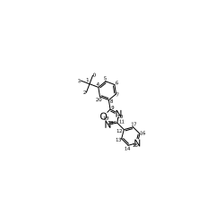 CC(C)(C)c1cccc(-c2nc(-c3ccncc3)no2)c1